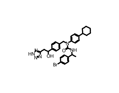 CC(NC(=O)N(Cc1ccc(C(O)Cc2nn[nH]n2)cc1)c1ccc(C2CCCCC2)cc1)c1ccc(Br)cc1